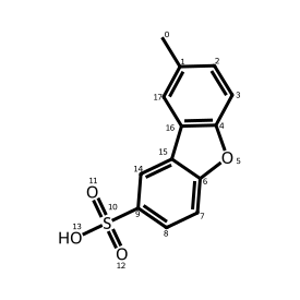 Cc1ccc2oc3ccc(S(=O)(=O)O)cc3c2c1